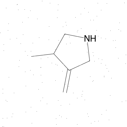 C=C1CNCC1C